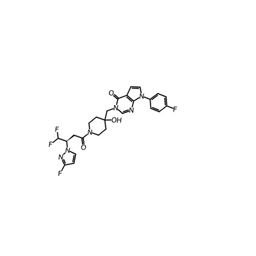 O=C(C[C@H](C(F)F)n1ccc(F)n1)N1CCC(O)(Cn2cnc3c(ccn3-c3ccc(F)cc3)c2=O)CC1